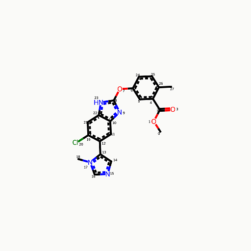 COC(=O)c1cc(Oc2nc3cc(-c4cncn4C)c(Cl)cc3[nH]2)ccc1C